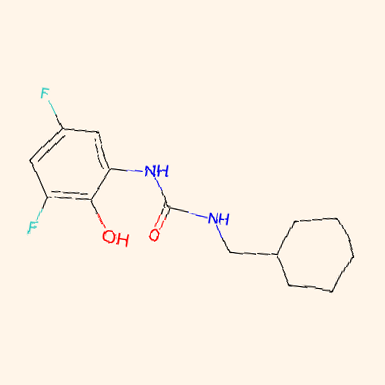 O=C(NCC1CCCCC1)Nc1cc(F)cc(F)c1O